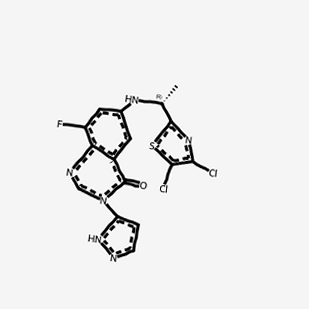 C[C@@H](Nc1cc(F)c2ncn(-c3ccn[nH]3)c(=O)c2c1)c1nc(Cl)c(Cl)s1